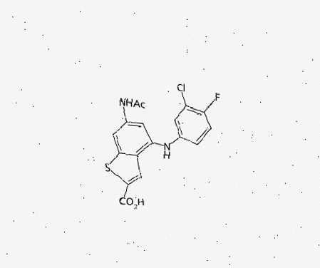 CC(=O)Nc1cc(Nc2ccc(F)c(Cl)c2)c2cc(C(=O)O)sc2c1